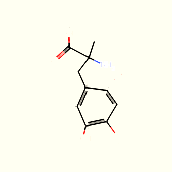 CC(N)(Cc1ccc(O)c(O)c1)C(=O)O.O